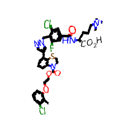 Cc1c(Cl)cccc1OCCOC(=O)N1CCSc2c(-c3cnn(Cc4c(F)cc(C(=O)NC(CCC[N+](C)(C)C)C(=O)O)cc4Cl)c3)cccc21